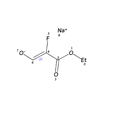 CCOC(=O)/C(F)=C/[O-].[Na+]